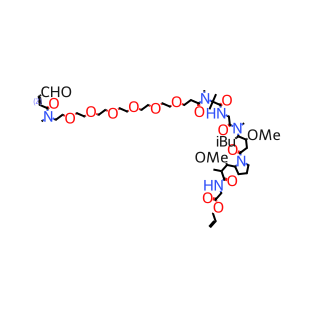 C=CCOC(=O)CNC(=O)C(C)C(OC)C1CCCN1C(=O)CC(OC)C(C(C)CC)N(C)C(=O)CNC(=O)C(C)(C)N(C)C(=O)CCOCCOCCOCCOCCOCCOCCN(C)C(=O)/C=C\C=O